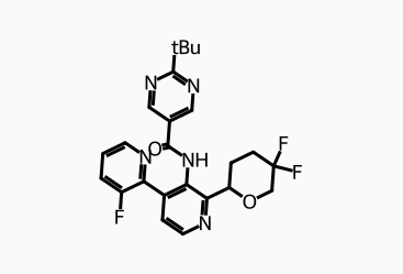 CC(C)(C)c1ncc(C(=O)Nc2c(-c3ncccc3F)ccnc2C2CCC(F)(F)CO2)cn1